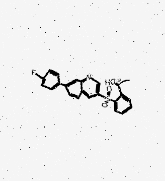 C[C@H](O)c1ccccc1S(=O)(=O)c1cnc2cc(-c3ccc(F)cc3)ccc2c1